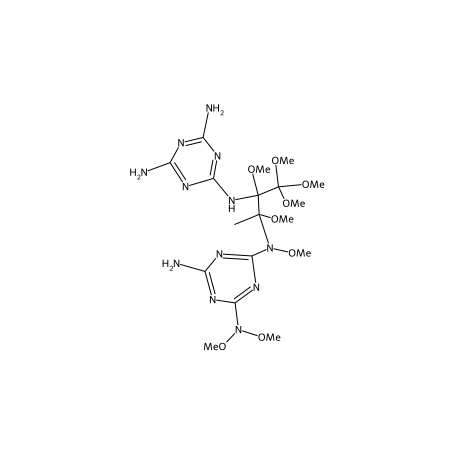 CON(OC)c1nc(N)nc(N(OC)C(C)(OC)C(Nc2nc(N)nc(N)n2)(OC)C(OC)(OC)OC)n1